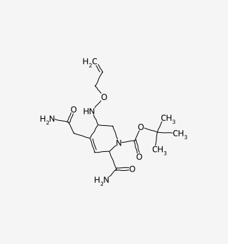 C=CCONC1CN(C(=O)OC(C)(C)C)C(C(N)=O)C=C1CC(N)=O